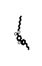 CCCCCCCCOC(=O)C1CCC(O)(c2ccc(CCCC)cc2)CC1